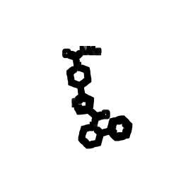 CNC(=O)N1CCC(c2cc(C(=O)N3CCCCC3c3ccccc3)cs2)CC1